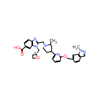 CC1CC(c2cccc(OCc3ccc4cnn(C)c4c3)n2)CCN1Cc1nc2ccc(C(=O)O)cc2n1C[C@@H]1CCO1